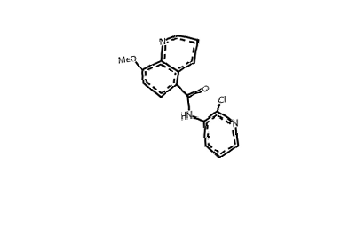 COc1ccc(C(=O)Nc2cccnc2Cl)c2cccnc12